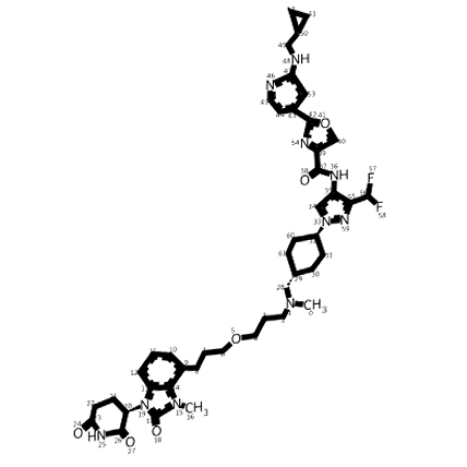 CN(CCCOCCCc1cccc2c1n(C)c(=O)n2[C@@H]1CCC(=O)NC1=O)C[C@H]1CC[C@H](n2cc(NC(=O)c3coc(-c4ccnc(NCC5CC5)c4)n3)c(C(F)F)n2)CC1